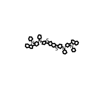 c1ccc(N(c2ccc3c(c2)sc2cc4cc5c(cc4cc23)sc2cc(N(c3ccccc3)c3ccc4c6ccc7ccccc7c6n(-c6ccccc6)c4c3)ccc25)c2ccc3c4ccc5ccccc5c4n(-c4ccccc4)c3c2)cc1